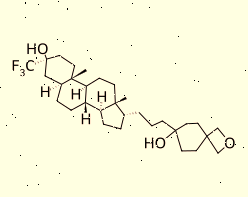 C[C@]12CC[C@@](O)(C(F)(F)F)C[C@@H]1CC[C@@H]1[C@@H]2CC[C@]2(C)[C@H](CCCC3(O)CCC4(CC3)COC4)CC[C@@H]12